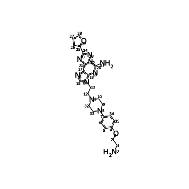 NCCOc1ccc(N2CCN(CCn3cnc4c3nc(N)n3nc(-c5ccco5)nc43)CC2)cc1